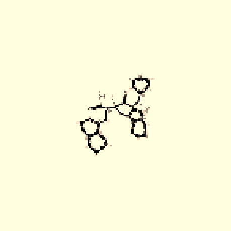 C[C@H](NC(=O)[C@@](C)(Cc1c[nH]c2ccccc12)N(Cc1cccc2ccccc12)C(=O)O)c1ccccc1